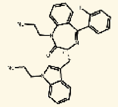 N#CCCN1C(=O)[C@@H](Cc2cn(CCC#N)c3ccccc23)N=C(c2ccccc2F)c2ccccc21